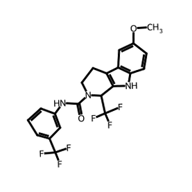 COc1ccc2[nH]c3c(c2c1)CCN(C(=O)Nc1cccc(C(F)(F)F)c1)C3C(F)(F)F